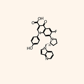 O=C(O)c1cn(-c2ccc(O)cc2)c2cc(N3CCC[C@@H]3Cn3ccc4ncccc43)c(F)cc2c1=O